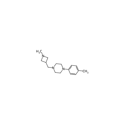 Cc1ccc(N2CCN(CC3CN(C)C3)CC2)cc1